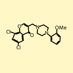 COc1ccccc1N1CCN(Cc2coc3c(Cl)cc(Cl)cc3c2=O)CC1